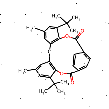 Cc1cc2c(c(C(C)(C)C)c1)OC(=O)c1ccc(cc1)C(=O)Oc1c(cc(C)cc1C(C)(C)C)C2